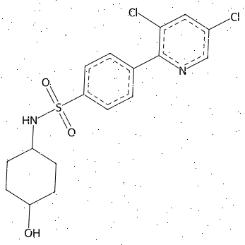 O=S(=O)(NC1CCC(O)CC1)c1ccc(-c2ncc(Cl)cc2Cl)cc1